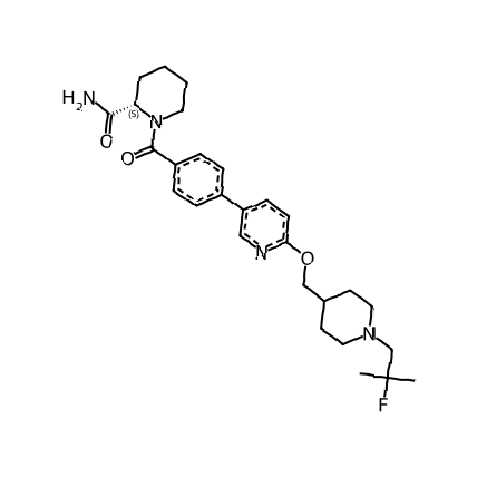 CC(C)(F)CN1CCC(COc2ccc(-c3ccc(C(=O)N4CCCC[C@H]4C(N)=O)cc3)cn2)CC1